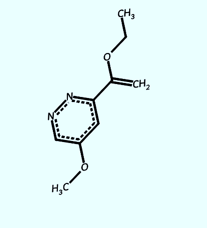 C=C(OCC)c1cc(OC)cnn1